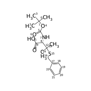 CC(C)(C)OC(=O)N[C@@H](C(=O)O)C(C)(C)SCc1ccccc1